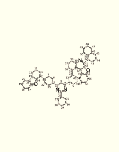 C1=C(c2cc(-c3ccc(-c4cccc5c4oc4ccccc45)cc3)nc(-c3ccccc3)n2)C=C(c2cccc3nc(-c4cccc5ccccc45)c4oc5ccccc5c4c23)CC1